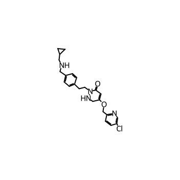 O=C1C=C(OCc2ccc(Cl)cn2)CNN1CCc1ccc(CNCC2CC2)cc1